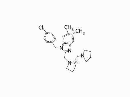 Cc1cc2nc(CN3CCC[C@H]3CN3CCCC3)n(Cc3ccc(Cl)cc3)c2cc1C